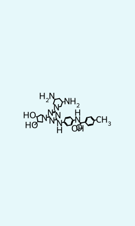 Cc1ccc(C(=O)Nc2ccc(Nc3nc(N4C[C@H](N)C[C@H](N)C4)nc(N4C[C@@H](O)[C@@H](O)C4)n3)cc2O)cc1